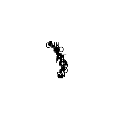 CC(=O)NC[C@H]1CN(c2cc(F)c(N3CCON(C(=O)Cc4nccs4)CC3)c(F)c2)C(=O)O1